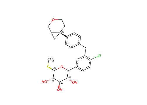 CS[C@H]1OC(c2ccc(Cl)c(Cc3ccc([C@]45CCOCC4C5)cc3)c2)[C@H](O)[C@@H](O)[C@@H]1O